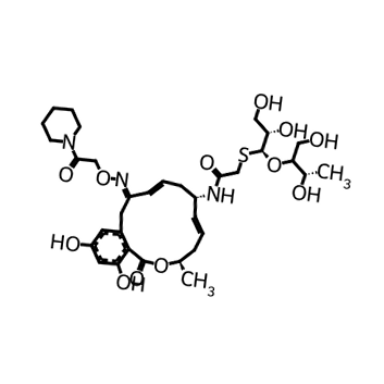 C[C@@H]1C/C=C/[C@@H](NC(=O)CS[C@H](OC(CO)[C@H](C)O)[C@@H](O)CO)C/C=C/C(=N/OCC(=O)N2CCCCC2)Cc2cc(O)cc(O)c2C(=O)O1